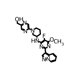 COc1nc(-c2cnn3ccccc23)nc(N[C@@H]2CCCN(c3cnc(CO)cn3)C2)c1F